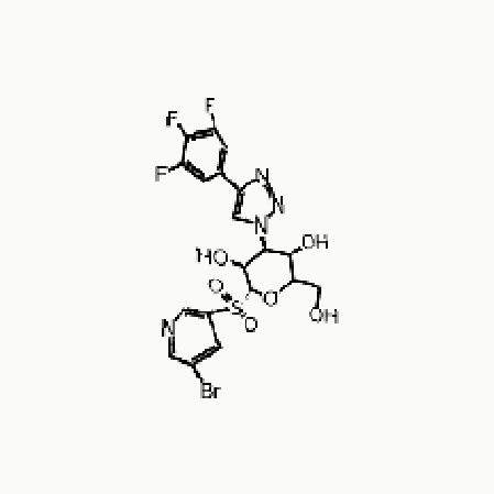 O=S(=O)(c1cncc(Br)c1)[C@H]1OC(CO)[C@H](O)[C@H](n2cc(-c3cc(F)c(F)c(F)c3)nn2)C1O